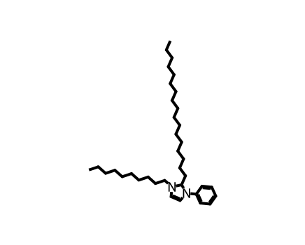 CCCCCCCCCCCCCCCCCC1N(CCCCCCCCCC)C=CN1c1ccccc1